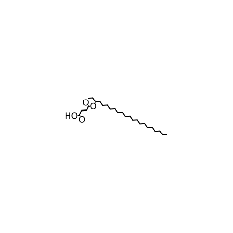 CCCCCCCCCCCCCCCCCCCC(CC)OC(=O)C=CC(=O)O